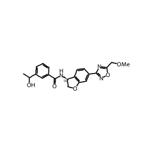 COCc1nc(-c2ccc3c(c2)OC[C@H]3NC(=O)c2cccc(C(C)O)c2)no1